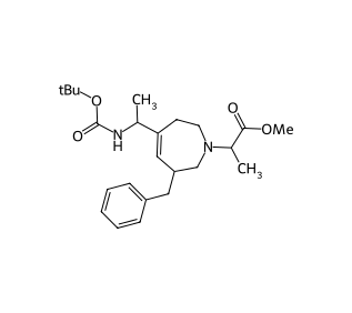 COC(=O)C(C)N1CCC(C(C)NC(=O)OC(C)(C)C)=CC(Cc2ccccc2)C1